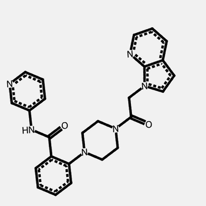 O=C(Nc1cccnc1)c1ccccc1N1CCN(C(=O)Cn2ccc3cccnc32)CC1